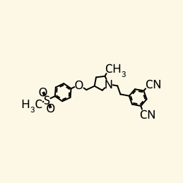 CC1CC(COc2ccc(S(C)(=O)=O)cc2)CN1CCc1cc(C#N)cc(C#N)c1